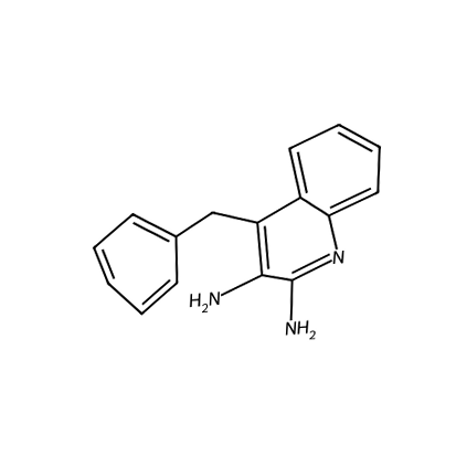 Nc1nc2ccccc2c(Cc2ccccc2)c1N